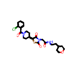 O=C(CN1C(=O)SC(=C2CCN(C(=O)c3ccccc3Cl)CC2)C1=O)NCCC1CCOCC1